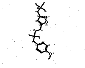 COc1ccc(CC(C)(C)CCc2cc(CC(C)(C)C)no2)cc1